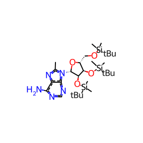 Cc1nc2c(N)ncnc2n1[C@@H]1O[C@H](CO[Si](C)(C)C(C)(C)C)[C@@H](O[Si](C)(C)C(C)(C)C)[C@H]1O[Si](C)(C)C(C)(C)C